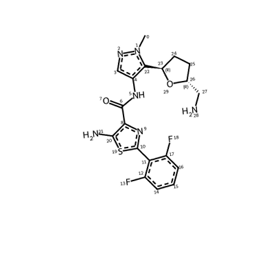 Cn1ncc(NC(=O)c2nc(-c3c(F)cccc3F)sc2N)c1[C@H]1CC[C@H](CN)O1